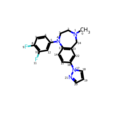 CN1CCN(c2ccc(F)c(F)c2)c2ccc(-n3cccn3)cc2C1